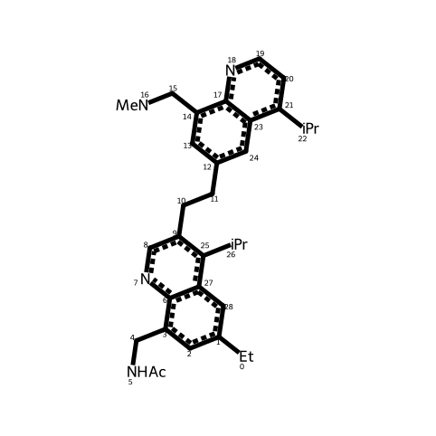 CCc1cc(CNC(C)=O)c2ncc(CCc3cc(CNC)c4nccc(C(C)C)c4c3)c(C(C)C)c2c1